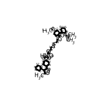 COc1cccc([C@@]2(OC(=O)OCCSSCCOC(=O)NS(=O)(=O)c3ccc(-c4noc(C)c4-c4ccccc4)cc3)CCCC[C@@H]2CN(C)C)c1